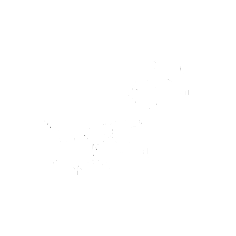 CC(C)c1cc(Oc2c(F)cc(-n3nc(C#N)c(=O)[nH]c3=O)cc2Cl)n[nH]c1=O